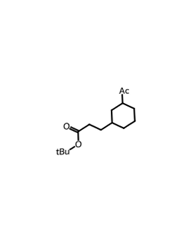 CC(=O)C1CCCC(CCC(=O)OC(C)(C)C)C1